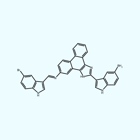 Bc1ccc2[nH]cc(-c3nc4c5ccccc5c5ccc(N=Cc6c[nH]c7ccc(Br)cc67)cc5c4[nH]3)c2c1